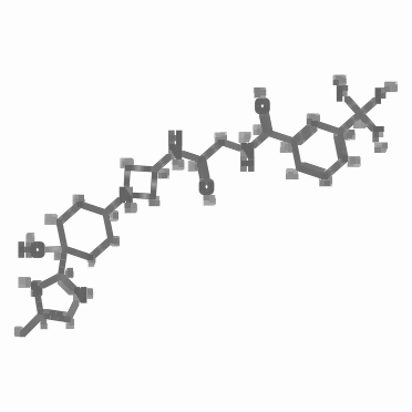 Cc1cnc(C2(O)CCC(N3CC(NC(=O)CNC(=O)c4cccc(C(F)(F)F)c4)C3)CC2)s1